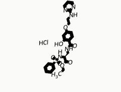 CCOC(=O)[C@H](CNC(=O)c1ccc(OCCNc2ncccn2)cc1O)NS(=O)(=O)c1ccccc1.Cl